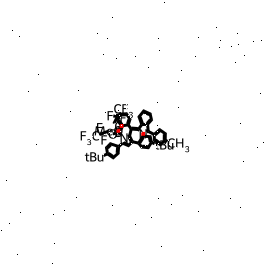 COc1ccccc1/C(=C1/N=C(c2ccc(C)cc2)c2ccccc21)c1c(-c2ccc(C(C)(C)C)cc2)cc(-c2ccc(C(C)(C)C)cc2)n1B(OCC(F)(F)C(F)(F)F)OCC(F)(F)C(F)(F)F